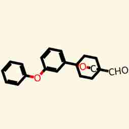 O=CC12CCC(c3cccc(Oc4ccccc4)c3)(CC1)OC2